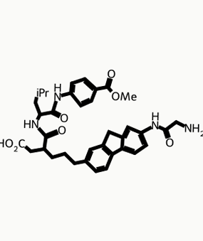 COC(=O)c1ccc(NC(=O)C(CC(C)C)NC(=O)C(CCCc2ccc3c(c2)Cc2cc(NC(=O)CN)ccc2-3)CC(=O)O)cc1